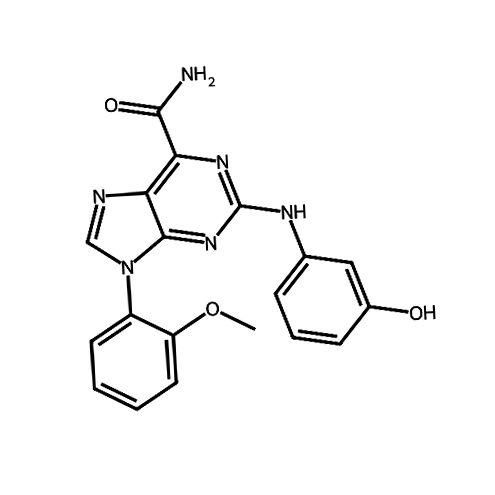 COc1ccccc1-n1cnc2c(C(N)=O)nc(Nc3cccc(O)c3)nc21